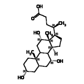 C[C@H](CCC(=O)O)[C@H]1CC[C@H]2C3C(C[C@H](O)[C@]12C)[C@@]1(C)CC[C@@H](O)CC1C[C@H]3O